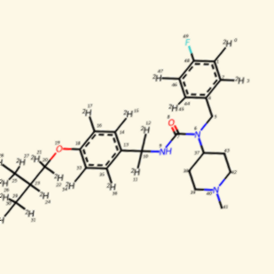 [2H]c1c([2H])c(CN(C(=O)NC([2H])([2H])c2c([2H])c([2H])c(OC([2H])([2H])C([2H])(C([2H])([2H])[2H])C([2H])([2H])[2H])c([2H])c2[2H])C2CCN(C)CC2)c([2H])c([2H])c1F